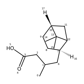 CC(CC(=O)O)C[C@H]1CC[C@@H]2CC1C2(C)C